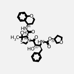 CC1(C)SCN(C(=O)[C@@H](O)[C@H](Cc2ccccc2)NC(=O)O[C@H]2CCOC2)[C@@H]1C(=O)N[C@@H]1CCOc2ccccc21